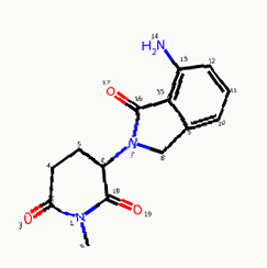 CN1C(=O)CCC(N2Cc3cccc(N)c3C2=O)C1=O